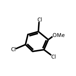 COc1c(Cl)[c]c(Cl)cc1Cl